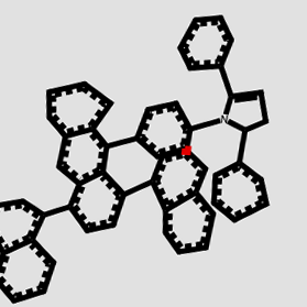 C1=C(c2ccccc2)N(c2ccc(-c3c4ccccc4cc4c(-c5cccc6ccccc56)ccc(-c5cccc6ccccc56)c34)cc2)C(c2ccccc2)C1